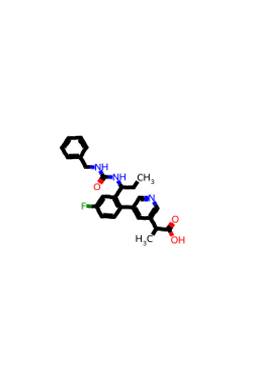 CCC(NC(=O)NCc1ccccc1)c1cc(F)ccc1-c1cncc(C(C)C(=O)O)c1